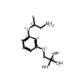 CCCC(O)(CCC)COc1cccc(OC(C)CN)c1